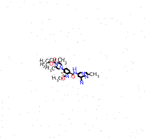 COc1nc2c(C(=O)Nc3cc(C#N)c4nc(C)cn4c3)ccc(N3C[C@H](C)N(C(=O)OC(C)(C)C)[C@@H](C)C3)c2s1